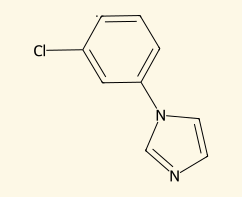 Clc1[c]ccc(-n2ccnc2)c1